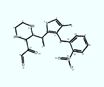 Cc1csc(C(C)C2NCCNC2C(=O)C=O)c1Cc1ccccc1[N+](=O)[O-]